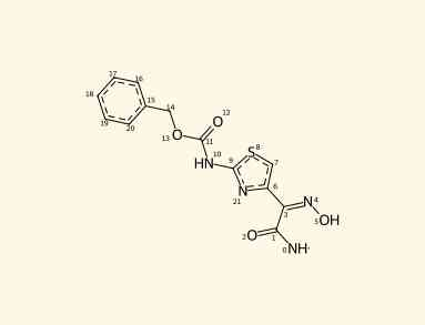 [NH]C(=O)/C(=N\O)c1csc(NC(=O)OCc2ccccc2)n1